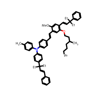 CCC(/C=C/c1cc(OC)c(/C=C/c2ccc(N(c3ccc(C)cc3)c3ccc(C(/C=C/c4ccccc4)(CC)CC)cc3)cc2)cc1OCCC(C)CCCC(C)C)(CC)c1ccccc1